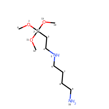 CO[Si](CCNCCCCN)(OC)OC